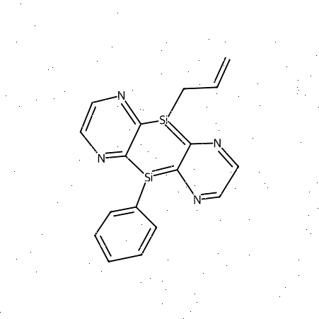 C=CC[si]1c2nccnc2[si](-c2ccccc2)c2nccnc21